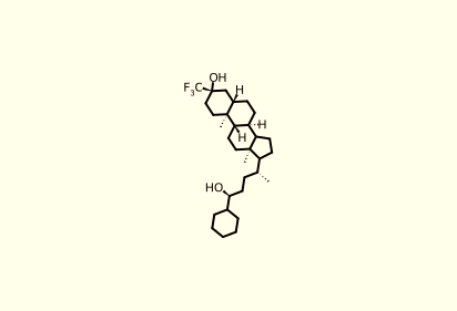 C[C@H](CC[C@H](O)C1CCCCC1)C1CCC2[C@@H]3CC[C@H]4C[C@](O)(C(F)(F)F)CC[C@]4(C)[C@H]3CC[C@]12C